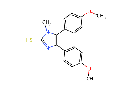 COc1ccc(-c2nc(S)n(C)c2-c2ccc(OC)cc2)cc1